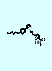 CCCCCCc1ccc(-c2cccn2CCCc2ccc(C(=O)NCC)s2)cc1